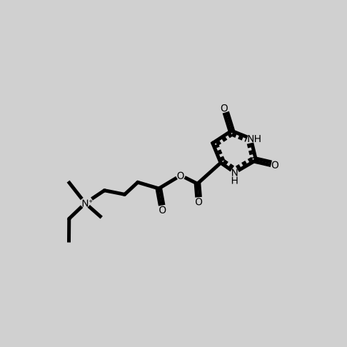 CC[N+](C)(C)CCCC(=O)OC(=O)c1cc(=O)[nH]c(=O)[nH]1